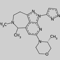 CC1c2cc(N3CCOC[C@H]3C)nc3c2c(nn3-c2cc[nH]n2)CCN1C